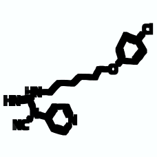 N#CN(C(=N)NCCCCCCOc1ccc(Cl)cc1)c1ccncc1